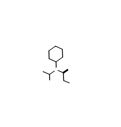 CC(C(=O)O)N(C(=O)CC(C)(C)C)C1CCCCC1